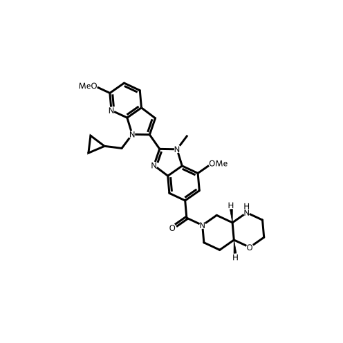 COc1ccc2cc(-c3nc4cc(C(=O)N5CC[C@H]6OCCN[C@H]6C5)cc(OC)c4n3C)n(CC3CC3)c2n1